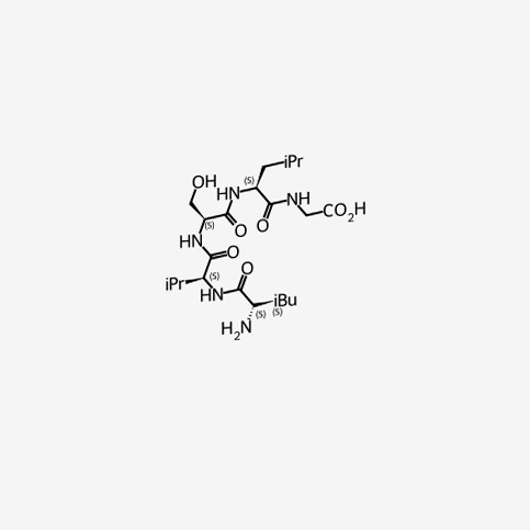 CC[C@H](C)[C@H](N)C(=O)N[C@H](C(=O)N[C@@H](CO)C(=O)N[C@@H](CC(C)C)C(=O)NCC(=O)O)C(C)C